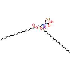 CCCCCCCCCCCCCCCCCC(=O)OCC(CN[C@@H](CS)C(=O)O)OC(=O)CCCCCCCCCCCCCCCCC